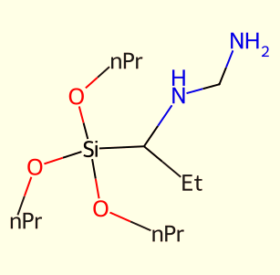 CCCO[Si](OCCC)(OCCC)C(CC)NCN